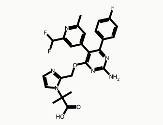 Cc1cc(-c2c(OCc3nccn3C(C)(C)C(=O)O)nc(N)nc2-c2ccc(F)cc2)cc(C(F)F)n1